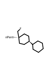 CCCCC[C@]1(CF)CC[C@@H](C2CCCCC2)CC1